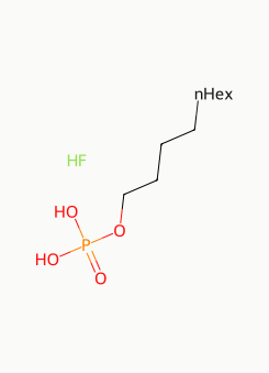 CCCCCCCCCCOP(=O)(O)O.F